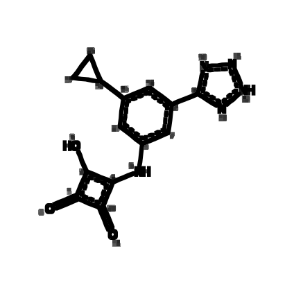 O=c1c(O)c(Nc2cc(-c3nn[nH]n3)cc(C3CC3)c2)c1=O